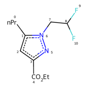 CCCc1cc(C(=O)OCC)nn1CC(F)F